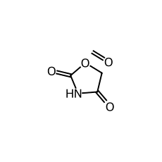 C=O.O=C1COC(=O)N1